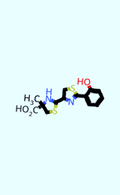 CC1(C(=O)O)CSC(C2CSC(c3ccccc3O)=N2)N1